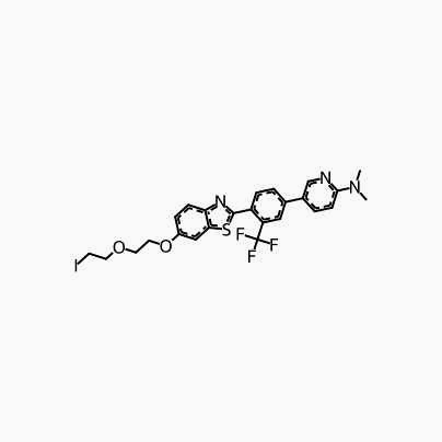 CN(C)c1ccc(-c2ccc(-c3nc4ccc(OCCOCCI)cc4s3)c(C(F)(F)F)c2)cn1